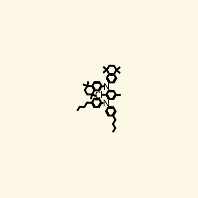 CCCCc1ccc(N(c2ccc(CCCC)cc2)c2cc(C)cc(N(c3ccc4c(c3)C(C)(C)CCC4(C)C)c3ccc4c(c3)C(C)(C)CCC4(C)C)c2Cl)cc1